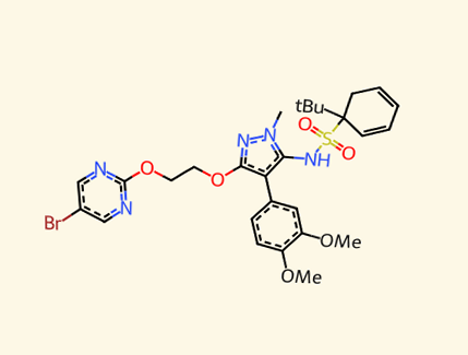 COc1ccc(-c2c(OCCOc3ncc(Br)cn3)nn(C)c2NS(=O)(=O)C2(C(C)(C)C)C=CC=CC2)cc1OC